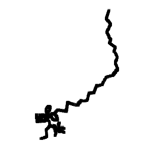 CCCCCCCCCC/C=C\CCCCCCCCCCCOP(=O)(O)C(CCC)[N+](C)(C)C